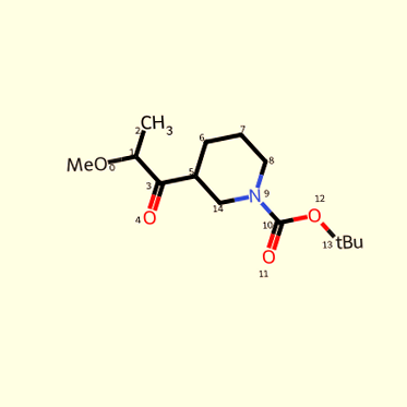 COC(C)C(=O)C1CCCN(C(=O)OC(C)(C)C)C1